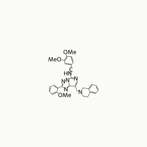 COc1ccc(CNc2ncc(CN3CCc4ccccc4C3)c3nc(-c4ccccc4OC)nn23)cc1OC